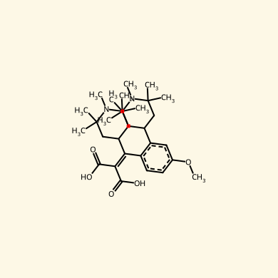 COc1ccc(C(=C(C(=O)O)C(=O)O)C2CC(C)(C)N(C)C(C)(C)C2)c(C2CC(C)(C)N(C)C(C)(C)C2)c1